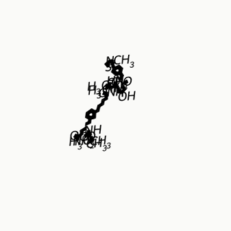 Cc1ncsc1-c1ccc(CNC(=O)[C@@H]2C[C@@H](O)CN2C(=O)[C@@H](NC(=O)CCCCCc2cccc(CC[C@H](CCC(N)=O)NC(=O)OC(C)(C)C)c2)C(C)(C)C)cc1